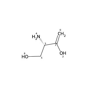 C=C(O)[C@@H](N)CO